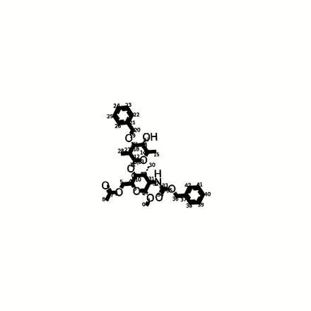 CO[C@@H]1OC(COC(C)=O)[C@@H](O[C@@H]2OC(C)[C@@H](O)[C@@H](OCc3ccccc3)C2C)[C@H](C)C1NC(=O)OCc1ccccc1